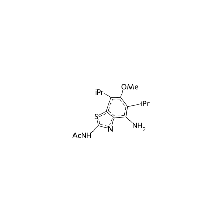 COc1c(C(C)C)c(N)c2nc(NC(C)=O)sc2c1C(C)C